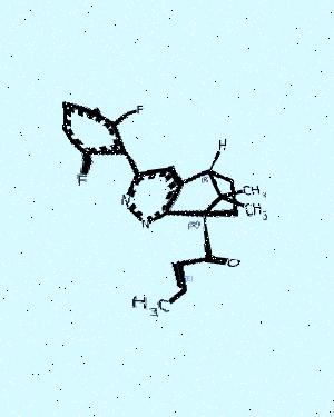 C/C=C/C(=O)[C@@]12CC[C@@H](c3cc(-c4c(F)cccc4F)nnc31)C2(C)C